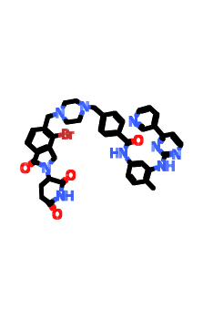 Cc1ccc(NC(=O)c2ccc(CN3CCN(Cc4ccc5c(c4Br)CN(C4CCC(=O)NC4=O)C5=O)CC3)cc2)cc1Nc1nccc(-c2cccnc2)n1